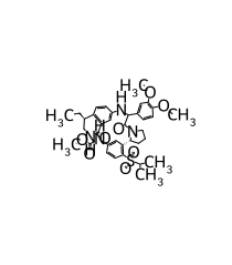 CC[C@@H]1CNC(=O)c2cc(NC(C(=O)N3CCC[C@@H]3c3cc(NC(=O)OC)ccc3S(=O)(=O)C(C)C)c3ccc(OC)c(OC)c3)ccc21